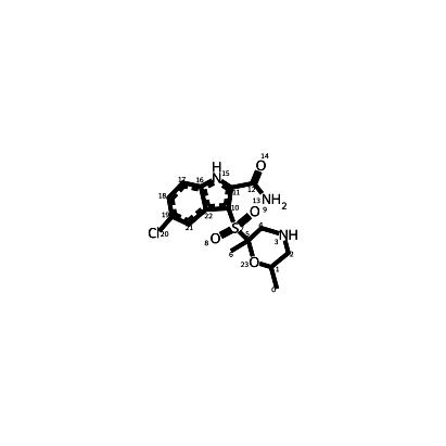 CC1CNCC(C)(S(=O)(=O)c2c(C(N)=O)[nH]c3ccc(Cl)cc23)O1